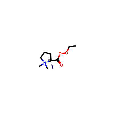 CCOOC(=O)[C@]1(I)CCC[N+]1(C)C